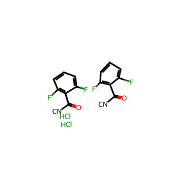 Cl.Cl.[C-]#[N+]C(=O)c1c(F)cccc1F.[C-]#[N+]C(=O)c1c(F)cccc1F